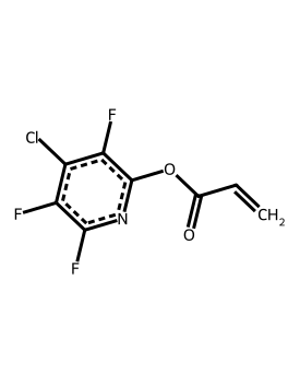 C=CC(=O)Oc1nc(F)c(F)c(Cl)c1F